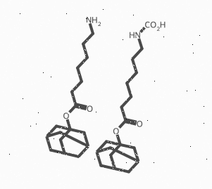 NCCCCCCC(=O)OC12CC3CC(CC(C3)C1)C2.O=C(O)NCCCCCCC(=O)OC12CC3CC(CC(C3)C1)C2